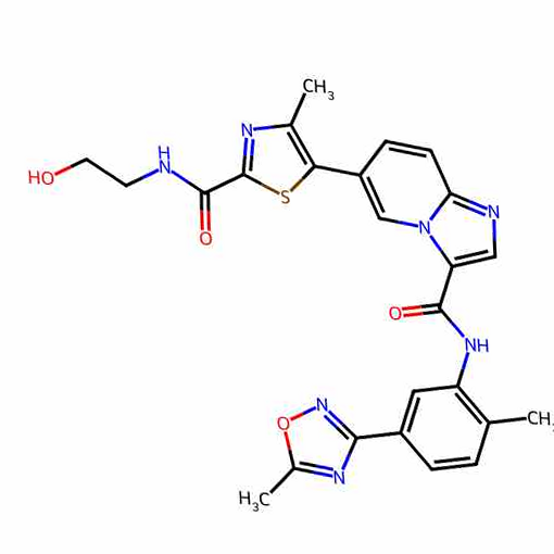 Cc1nc(-c2ccc(C)c(NC(=O)c3cnc4ccc(-c5sc(C(=O)NCCO)nc5C)cn34)c2)no1